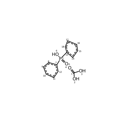 O=C(O)O.O=P(O)(c1ccccc1)c1ccccc1